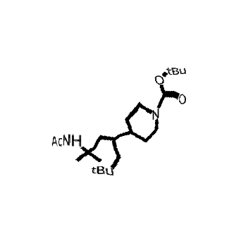 CC(=O)NC(C)(C)CC(CC(C)(C)C)C1CCN(C(=O)OC(C)(C)C)CC1